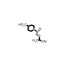 CC(=O)OC(C)ON=[N+]([O-])N1CCC(C(=O)O)CC1